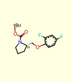 CC(C)(C)OC(=O)N1CCC[C@H]1COc1ccc(F)cc1F